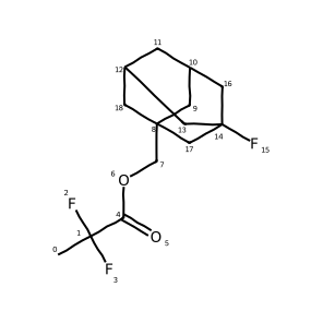 CC(F)(F)C(=O)OCC12CC3CC(CC(F)(C3)C1)C2